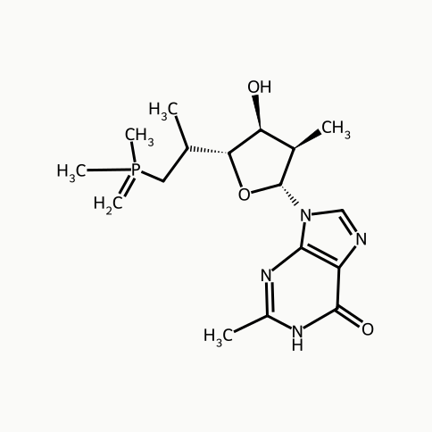 C=P(C)(C)CC(C)[C@H]1O[C@@H](n2cnc3c(=O)[nH]c(C)nc32)[C@H](C)[C@@H]1O